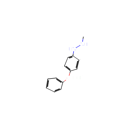 CNNc1ccc(Oc2ccccc2)cc1.Cl